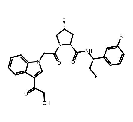 O=C(CO)c1cn(CC(=O)N2C[C@H](F)C[C@H]2C(=O)N[C@H](CF)c2cccc(Br)c2)c2ccccc12